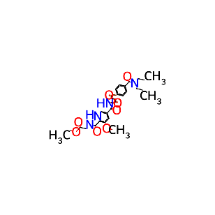 CCCN(CCC)C(=O)c1ccc(S(=O)(=O)NC(=O)c2cnc(C(=O)NCC(=O)OCC)c(OC)c2)cc1